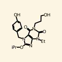 CCn1c(=O)n(CCCO)c(=O)c2c1nc(OC(C)C)n2Cc1ccc(O)cc1